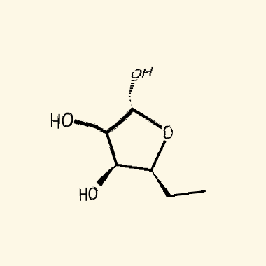 CC[C@@H]1O[C@@H](O)C(O)[C@@H]1O